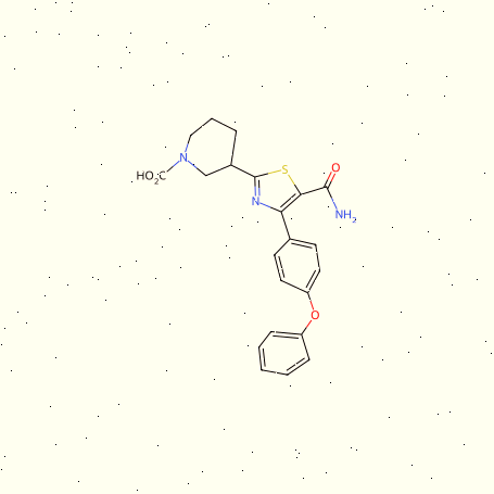 NC(=O)c1sc(C2CCCN(C(=O)O)C2)nc1-c1ccc(Oc2ccccc2)cc1